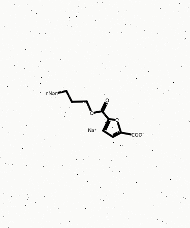 CCCCCCCCCCCCOC(=O)c1ccc(C(=O)[O-])o1.[Na+]